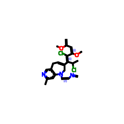 C=N/C=C\N1CC(/C(=C(Cl)/C(=C\C(=C)OC)OC)C(C)Cl)=CCc2cnc(C)cc21